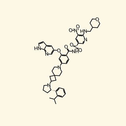 CC(C)c1ccccc1[C@@H]1CCCN1C1CC2(CCN(c3ccc(C(=O)NS(=O)(=O)c4cnc(NCC5CCOCC5)c([N+](=O)[O-])c4)c(Oc4cnc5[nH]ccc5c4)c3)CC2)C1